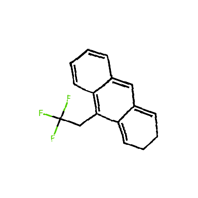 FC(F)(F)Cc1c2c(cc3ccccc13)=CCCC=2